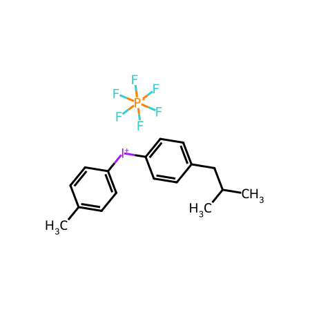 Cc1ccc([I+]c2ccc(CC(C)C)cc2)cc1.F[P-](F)(F)(F)(F)F